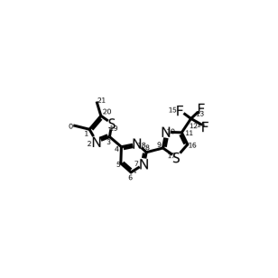 Cc1nc(-c2c[c]nc(-c3nc(C(F)(F)F)cs3)n2)sc1C